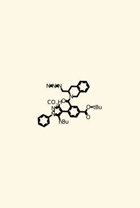 CCCCc1c(-c2ccc(C(=O)OC(C)(C)C)cc2C(=O)N2Cc3ccccc3CC2CN=[N+]=[N-])c(C(=O)O)nn1-c1ccccc1